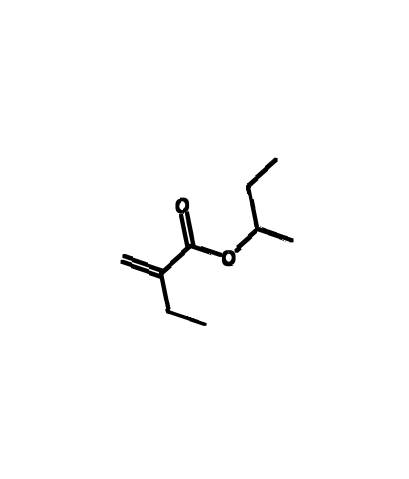 C=C(CC)C(=O)OC(C)CC